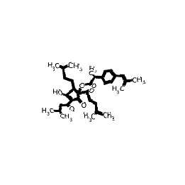 CC(C)CCC(=O)C1(OC(=O)[C@@H](C)c2ccc(CC(C)C)cc2)C(=O)C(C(=O)CC(C)C)=C(O)C1CCC(C)C